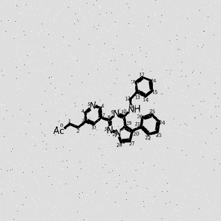 CC(=O)CCc1cncc(-c2nc(NCc3ccccc3)c3c(-c4ccccc4)ccn3n2)c1